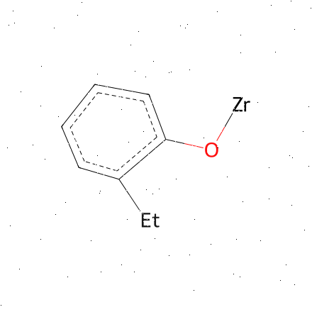 CCc1ccccc1[O][Zr]